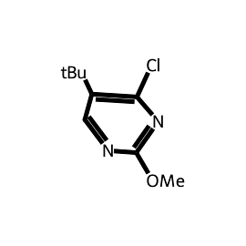 COc1ncc(C(C)(C)C)c(Cl)n1